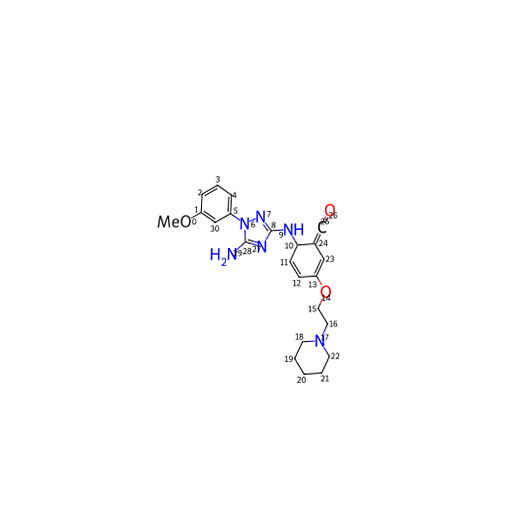 COc1cccc(-n2nc(NC3C=CC(OCCN4CCCCC4)=CC3=C=O)nc2N)c1